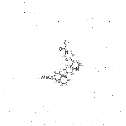 C=CC(=O)N1CCN(c2nc(C)nc3c2CCC(N2CCCc4cc(OC)ccc42)C3)CC1